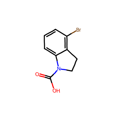 O=C(O)N1CCc2c(Br)cccc21